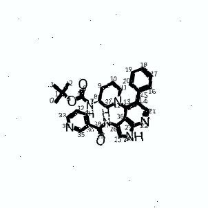 CC(C)(C)OC(=O)N[C@@H]1CCCN(c2c(-c3ccccc3)cnc3[nH]cc(NC(=O)c4cccnc4)c23)C1